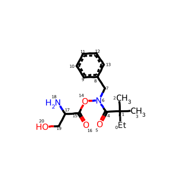 CCC(C)(C)C(=O)N(Cc1ccccc1)OC(=O)C(N)CO